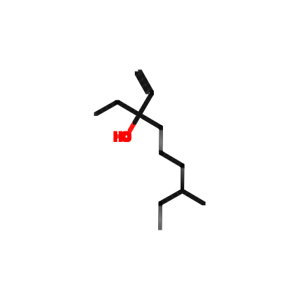 C=CC(O)(CC)CCCC(C)CC